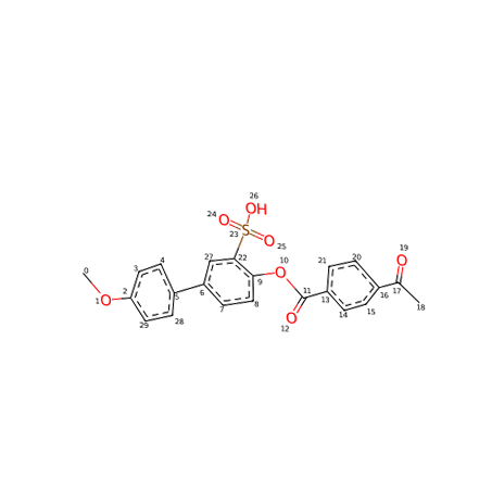 COc1ccc(-c2ccc(OC(=O)c3ccc(C(C)=O)cc3)c(S(=O)(=O)O)c2)cc1